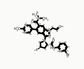 Cc1ncc(-c2cc3c(N4C[C@H](F)C[C@H]4C(=O)Nc4cccc(Br)n4)nn(CC=O)c3cc2C(=O)N(C)C)cn1